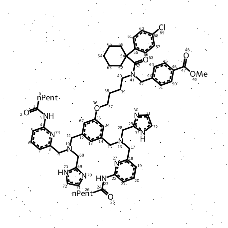 CCCCCC(=O)Nc1cccc(CN(Cc2cc(CN(Cc3cccc(NC(=O)CCCCC)n3)Cc3ncc[nH]3)cc(OCCCCN(Cc3ccc(C(=O)OC)cc3)C(=O)C3(c4ccc(Cl)cc4)CCCCC3)c2)Cc2ncc[nH]2)n1